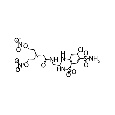 NS(=O)(=O)c1cc2c(cc1Cl)NC(CNC(=O)CN(CCO[N+](=O)[O-])CCO[N+](=O)[O-])NS2(=O)=O